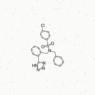 O=S(=O)(c1ccc(Cl)cc1)N(Cc1ccccc1)Cc1ccccc1-c1nnn[nH]1